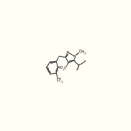 Cn1nc(Cc2cccc(C(F)(F)F)c2)c(C(=O)O)c1C(F)F